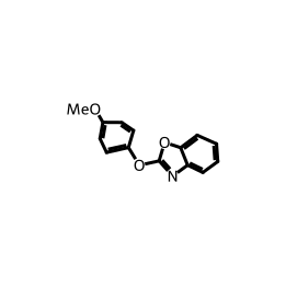 COc1ccc(Oc2nc3ccccc3o2)cc1